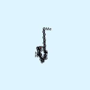 COCCOCCOCCOCCOCCOCCOCCOCCn1cc(-c2ccc(C(=O)OC[N+]3(CC(=O)NCC(=O)N[C@@H](CC(C)C)C(=O)NCC(=O)N[C@@H](CC(C)C)C(=O)[C@@]4(C)CO4)CCOCC3)cc2)nn1